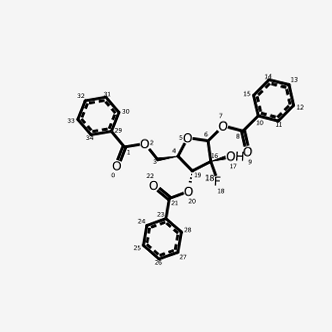 O=C(OC[C@H]1OC(OC(=O)c2ccccc2)[C@](O)([18F])[C@@H]1OC(=O)c1ccccc1)c1ccccc1